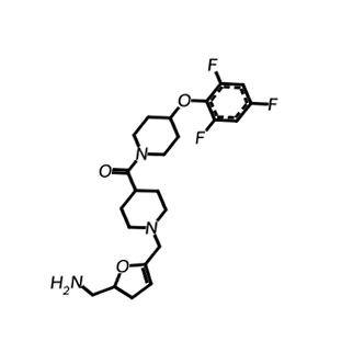 NCC1CC=C(CN2CCC(C(=O)N3CCC(Oc4c(F)cc(F)cc4F)CC3)CC2)O1